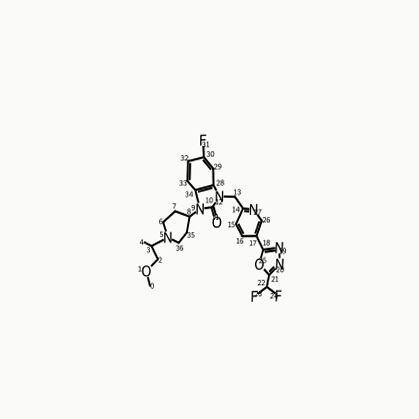 COCC(C)N1CCC(n2c(=O)n(Cc3ccc(-c4nnc(C(F)F)o4)cn3)c3cc(F)ccc32)CC1